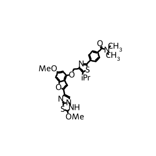 COc1cc(OCc2nc(-c3ccc(C(=O)N(C)C)cc3)sc2C(C)C)c2cc(-c3cn4c(n3)SC(OC)N4)oc2c1